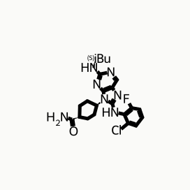 CC[C@H](C)Nc1ncc2nc(Nc3c(F)cccc3Cl)n([C@H]3CC[C@@H](C(N)=O)CC3)c2n1